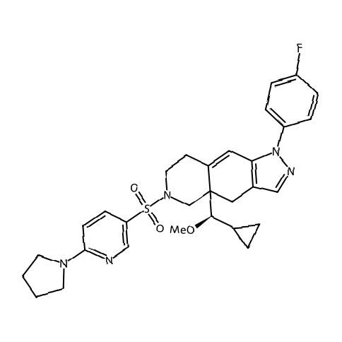 CO[C@H](C1CC1)C12Cc3cnn(-c4ccc(F)cc4)c3C=C1CCN(S(=O)(=O)c1ccc(N3CCCC3)nc1)C2